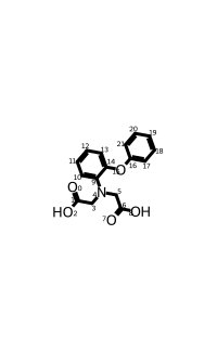 O=C(O)CN(CC(=O)O)c1ccccc1Oc1ccccc1